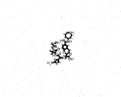 CC(ON=C(C(=O)NC1C(=O)N(OS(=O)(=O)O)C1(C)C)c1csc(N)n1)(C(=O)O)C1CCc2cc(C(=N)NC3CCCNCC3)ccc2O1